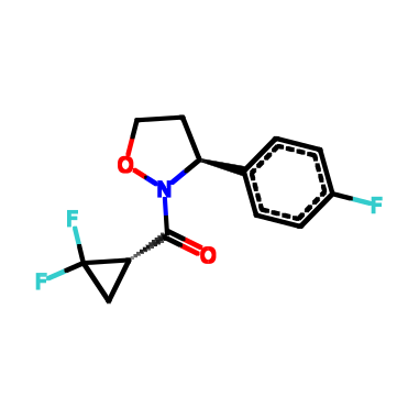 O=C([C@@H]1CC1(F)F)N1OCC[C@H]1c1ccc(F)cc1